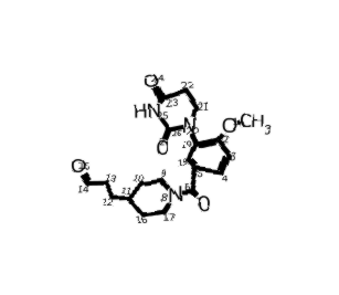 COc1ccc(C(=O)N2CCC(CCC=O)CC2)cc1N1CCC(=O)NC1=O